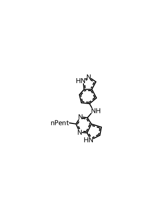 CCCCCc1nc(Nc2ccc3[nH]ncc3c2)c2cc[nH]c2n1